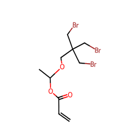 C=CC(=O)OC(C)OCC(CBr)(CBr)CBr